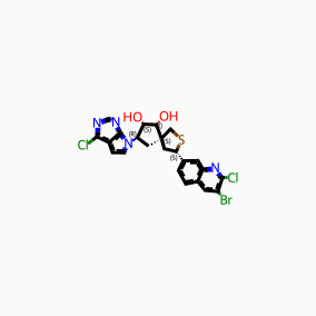 O[C@H]1[C@H](n2ccc3c(Cl)ncnc32)C[C@@]2(CS[C@H](c3ccc4cc(Br)c(Cl)nc4c3)C2)[C@H]1O